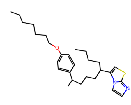 CCCCCCCOc1ccc(C(C)CCCC(CCCC)c2csc3nccn23)cc1